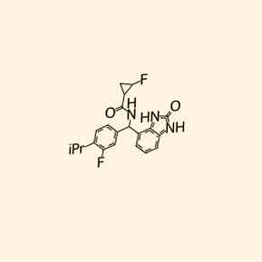 CC(C)c1ccc(C(NC(=O)C2CC2F)c2cccc3[nH]c(=O)[nH]c23)cc1F